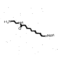 CCCCCCCCCCCCCCCCCC(=O)NCCN